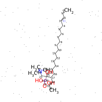 C=C/C=C/CCCCCCCCCCCCCC(CCC)C(O)(C[N+](C)(C)C)P(=O)(O)O